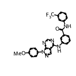 COc1ccc(-n2ncc3c(Nc4cccc(C(=O)Nc5cccc(C(F)(F)F)c5)c4)ncnc32)cc1